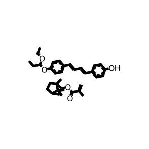 C=C(C)C(=O)OC1CC2CCC1(C)C2(C)C.CCOC(CC)Oc1ccc(C=CC=Cc2ccc(O)cc2)cc1